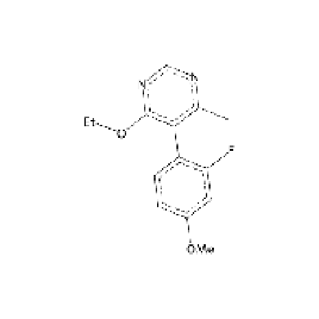 CCOc1ncnc(C)c1-c1ccc(OC)cc1F